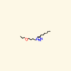 CCCCCCc1cn(CCCCOCCC)nn1